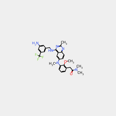 COc1c(CC(=O)N(C)C)cccc1N(C)c1ccc2nc(C)nc(NCc3cc(N)cc(C(F)(F)F)c3)c2c1